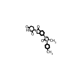 Cc1ccc(N2C(=O)N(c3ccc4c(c3)CN(C3CCC(=O)NC3=O)C4=O)C[C@H]2C)cc1